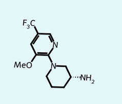 COc1cc(C(F)(F)F)cnc1N1CCC[C@@H](N)C1